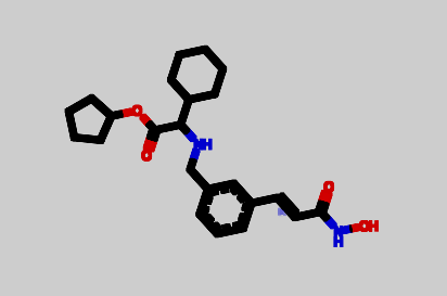 O=C(/C=C/c1cccc(CNC(C(=O)OC2CCCC2)C2CCCCC2)c1)NO